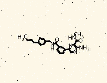 CCCCc1ccc(CNC(=O)c2cccc(-c3cnc(N)c(C(=O)NC)n3)c2)cc1